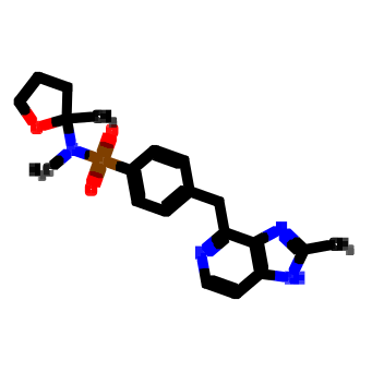 Cc1nc2c(Cc3ccc(S(=O)(=O)N(C)C4(C)CCCO4)cc3)nccc2[nH]1